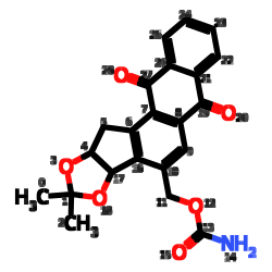 CC1(C)OC2Cc3c4c(cc(COC(N)=O)c3C2O1)C(=O)c1ccccc1C4=O